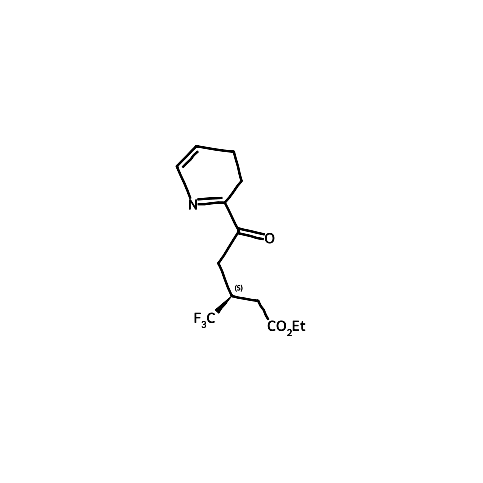 CCOC(=O)C[C@H](CC(=O)C1=NC=CCC1)C(F)(F)F